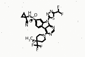 COC1(C(F)(F)F)CCN(c2ncnc3c2c2ccc(S(=O)(=O)NC4(C#N)CC4)cc2n3-c2nnc(C(F)F)s2)CC1